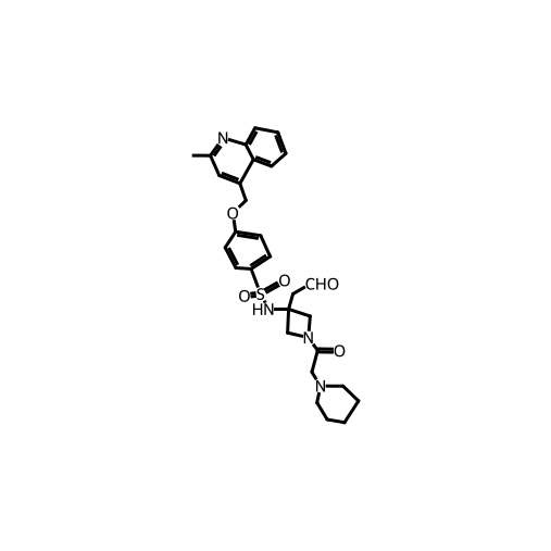 Cc1cc(COc2ccc(S(=O)(=O)NC3(CC=O)CN(C(=O)CN4CCCCC4)C3)cc2)c2ccccc2n1